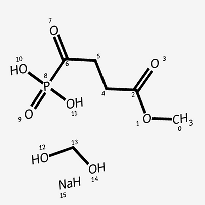 COC(=O)CCC(=O)P(=O)(O)O.OCO.[NaH]